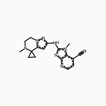 CN1CCn2nc(Nc3nc4nccc(C#N)c4n3C)cc2C12CC2